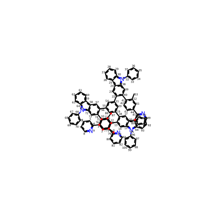 Cc1cc(-c2ccccn2)ccc1-c1cc2c(cc1-c1cc(-c3cc4c5ccccc5n(-c5ccccc5)c4cc3-c3ccc(-c4ccccn4)cc3C)cc(-c3cc4c5ccccc5n(-c5ccccc5)c4cc3-c3ccc(-c4ccccn4)cc3C)c1)c1ccccc1n2-c1ccccc1